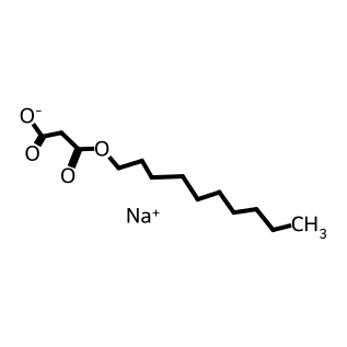 CCCCCCCCCCOC(=O)CC(=O)[O-].[Na+]